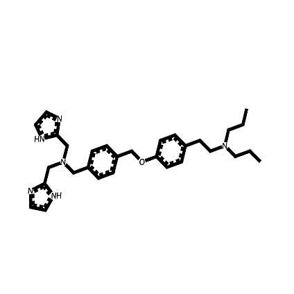 CCCN(CCC)CCc1ccc(OCc2ccc(CN(Cc3ncc[nH]3)Cc3ncc[nH]3)cc2)cc1